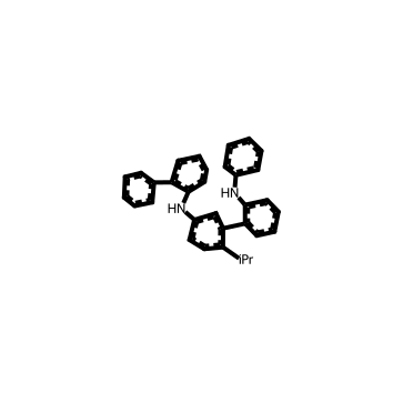 CC(C)c1ccc(Nc2ccccc2-c2ccccc2)cc1-c1ccccc1Nc1ccccc1